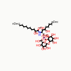 CCCCCCCCCCCCCCCCCCC(O)C(=O)N[C@@H](COP(=O)(O)O[C@H]1C(O)C(O)C(O)[C@@H](O)C1O[C@H]1O[C@H](CO)[C@@H](O)C(O)C1O)[C@H](O)[C@H](O)CCCCCCCCCCCCCC